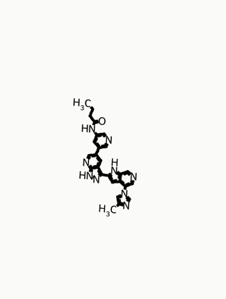 CCCC(=O)Nc1cncc(-c2cnc3[nH]nc(-c4cc5c(-n6cnc(C)c6)cncc5[nH]4)c3c2)c1